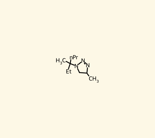 CCCC(C)(CC)N1CC(C)N=N1